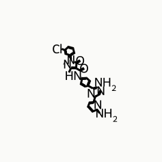 Cc1c(C(=O)Nc2ccc(-c3nc(-c4cccc(N)n4)cnc3N)cc2)c(=O)n(-c2cccc(Cl)c2)n1C